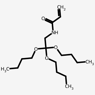 C=CC(=O)NCC(OCCCC)(OCCCC)OCCCC